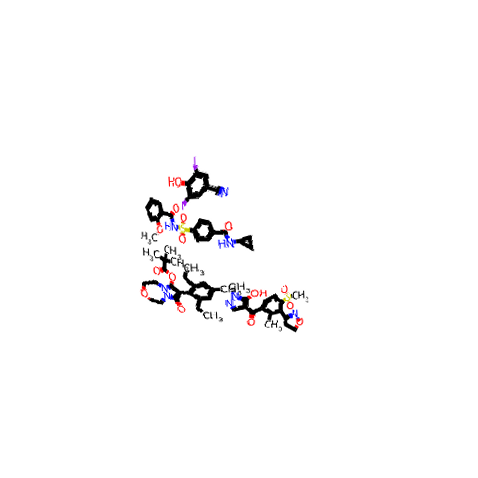 CCc1cc(C)cc(CC)c1-c1c(OC(=O)C(C)(C)C)n2n(c1=O)CCOCC2.COc1ccccc1C(=O)NS(=O)(=O)c1ccc(C(=O)NC2CC2)cc1.Cc1c(C(=O)c2cnn(C)c2O)ccc(S(C)(=O)=O)c1C1=NOCC1.N#Cc1cc(I)c(O)c(I)c1